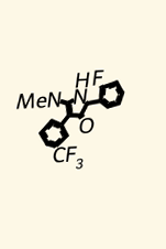 CNC1=C(c2cccc(C(F)(F)F)c2)C(=O)C(c2ccccc2F)N1